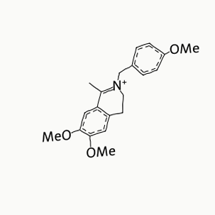 COc1ccc(C[N+]2=C(C)c3cc(OC)c(OC)cc3CC2)cc1